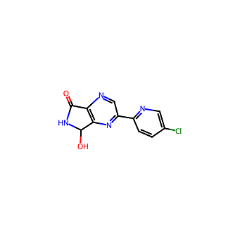 O=C1NC(O)c2nc(-c3ccc(Cl)cn3)cnc21